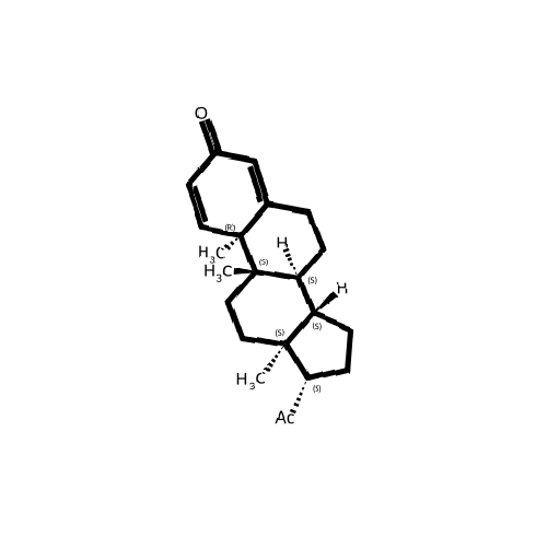 CC(=O)[C@H]1CC[C@H]2[C@@H]3CCC4=CC(=O)C=C[C@]4(C)[C@@]3(C)CC[C@]12C